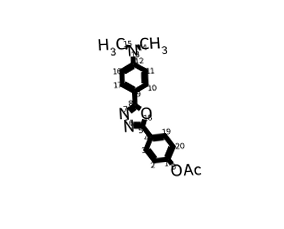 CC(=O)Oc1ccc(-c2nnc(-c3ccc(N(C)C)cc3)o2)cc1